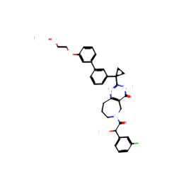 COCCOc1cccc(-c2cccc(C3(c4nc5c(c(=O)[nH]4)CN(C(=O)C(O)c4cccc(Cl)c4)CCC5)CC3)c2)c1